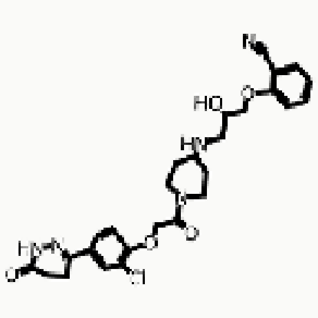 N#Cc1ccccc1OCC(O)CNC1CCN(C(=O)COc2ccc(C3=NNC(=O)CC3)cc2Cl)CC1